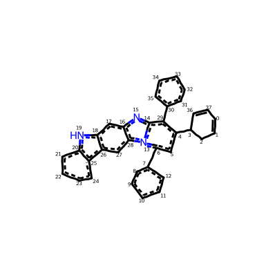 C1=CCC(c2cc(-c3ccccc3)n3c(nc4cc5[nH]c6ccccc6c5cc43)c2-c2ccccc2)C=C1